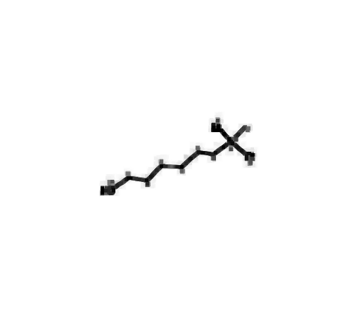 CC[N+](C)(CC)CCCCCCO